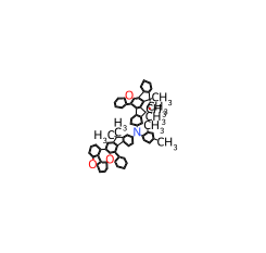 Cc1ccc(N(c2ccc3c(c2)C(C)(C)c2cc(-c4cccc5oc6ccccc6c45)c4oc5ccccc5c4c2-3)c2ccc3c(c2)C(C)(C)c2c4c(c5oc6ccccc6c5c2-3)-c2ccccc2C4(C)C)c(C)c1